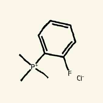 C[P+](C)(C)c1ccccc1F.[Cl-]